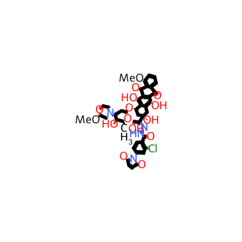 COc1cccc2c1C(=O)c1c(O)c3c(c(O)c1C2=O)C[C@@](O)(/C(CO)=N/NC(=O)c1ccc(N2C(=O)C=CC2=O)cc1Cl)C[C@@H]3O[C@H]1CC(N2CCO[C@@H](OC)C2)[C@H](O)[C@H](C)O1